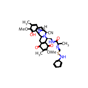 COC1=C(C)C(=O)C2=C(C1=O)[C@H](CNC(=O)C(C)/N=C/SNc1ccccc1)N1C(C2)C2c3c(cc(C)c(OC)c3O)C[C@@H]([C@@H]1C#N)N2C